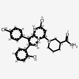 NC(=O)C1CCCN(c2cc(Cl)nc3c(-c4ccc(Cl)cc4)c(-c4ccccc4Cl)nn23)C1